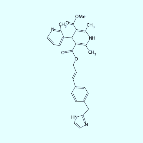 COC(=O)C1=C(C)NC(C)=C(C(=O)OCC=Cc2ccc(Cc3ncc[nH]3)cc2)C1c1cccnc1C